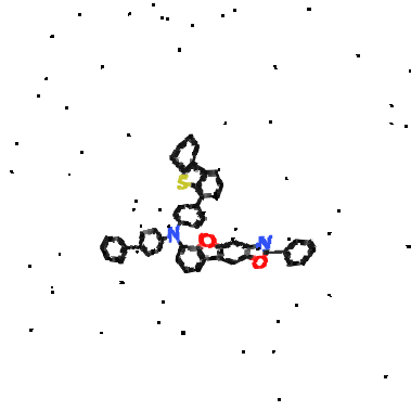 c1ccc(-c2ccc(N(c3ccc(-c4cccc5c4sc4ccccc45)cc3)c3cccc4c3oc3cc5nc(-c6ccccc6)oc5cc34)cc2)cc1